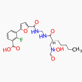 CCCCC[C@H](CN(O)C=O)C(=O)NCNC(=O)c1ccc(-c2cccc(C(=O)O)c2F)o1